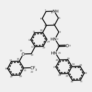 O=C(NCC1CNCCC1c1ccc(COc2ccccc2C(F)(F)F)cc1)Nc1ccc2ccccc2c1